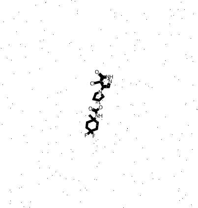 CC1(NC(=O)O[C@@H]2CCN(c3cn[nH]c(=O)c3Cl)C2)CCC(F)(F)CC1